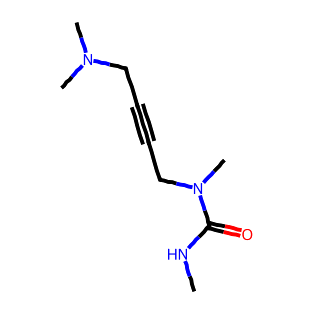 CNC(=O)N(C)CC#CCN(C)C